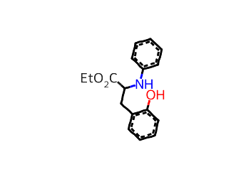 CCOC(=O)C(Cc1ccccc1O)Nc1ccccc1